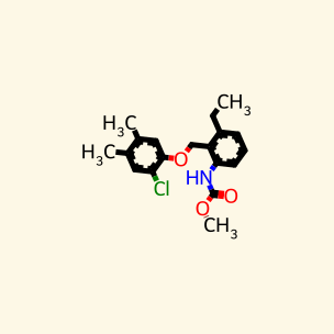 CCc1cccc(NC(=O)OC)c1COc1cc(C)c(C)cc1Cl